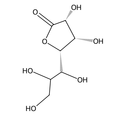 O=C1O[C@@H](C(O)C(O)CO)[C@@H](O)[C@H]1O